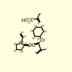 C=C(C)C(=O)O.C=C(C)C(=O)OC1CCCCC1.C=CN1CCCC1=O